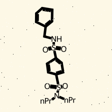 CCCN(CCC)S(=O)(=O)c1ccc(S(=O)(=O)NCc2ccccc2)cc1